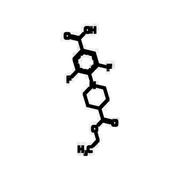 CCOC(=O)C1CCN(c2c(F)cc(C(=O)O)cc2F)CC1